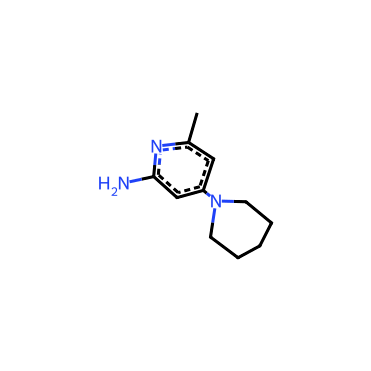 Cc1cc(N2CCCCC2)cc(N)n1